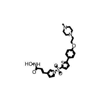 CN1CCN(CCOc2ccc(-c3ccc(S(=O)(=O)n4ccc(C=CC(=O)NO)c4)s3)cc2)CC1